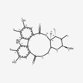 CO[C@H]1OC2COC(=O)c3cc(O)c(C)c(O)c3-c3c(cc(O)c(C)c3O)C(=O)O[C@H]2[C@H](C)C1C